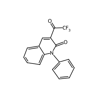 O=C(c1cc2ccccc2n(-c2ccccc2)c1=O)C(F)(F)F